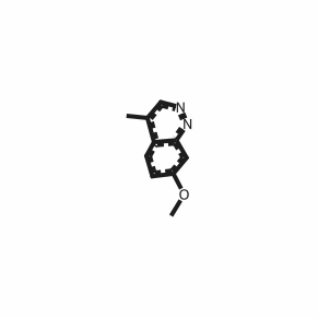 COc1ccc2c(C)cnnc2c1